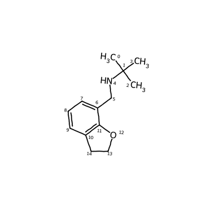 CC(C)(C)NCc1cccc2c1OCC2